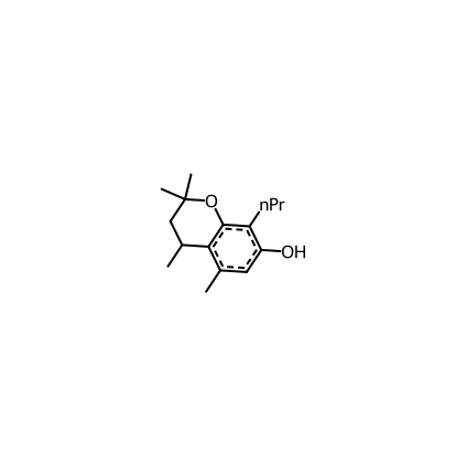 CCCc1c(O)cc(C)c2c1OC(C)(C)CC2C